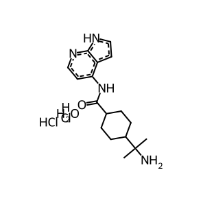 CC(C)(N)C1CCC(C(=O)Nc2ccnc3[nH]ccc23)CC1.Cl.Cl.O